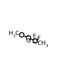 Cc1ccc(C2CC=C(C3CCC(C)CC3)CO2)c(F)c1F